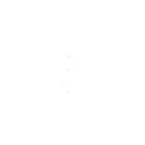 NPPPPPP